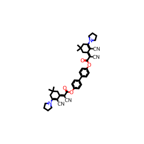 CC1(C)CC(N2CCCC2)=C(C#N)/C(=C(\C#N)C(=O)Oc2ccc(-c3ccc(OC(=O)/C(C#N)=C4\CC(C)(C)CC(N5CCCC5)=C4C#N)cc3)cc2)C1